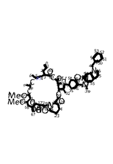 C=CCC1/C=C(\C)CC(C)CC(OC)C2OC(O)(C(=O)C(=O)N3CCCCC3C(=O)OC(C(C)=CC3CCC(N(C)c4ccc5c(ccn5Cc5ccccc5)c4)C(O)C3)C(C)C(O)CC1=O)C(C)CC2OC